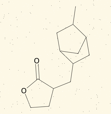 CC1CC2CC1CC2CC1CCOC1=O